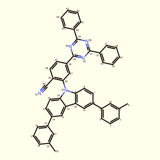 Cc1cccc(-c2ccc3c(c2)c2cc(-c4cccc(C)c4)ccc2n3-c2cc(-c3nc(-c4ccccc4)nc(-c4ccccc4)n3)ccc2C#N)c1